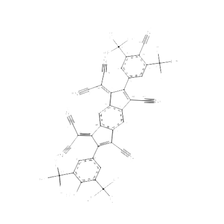 Cc1c(C(F)(F)F)cc(C2=C(C#N)c3cc4c(cc3C2=C(C#N)C#N)C(=C(C#N)C#N)C(c2cc(C(F)(F)F)c(C#N)c(C(F)(F)F)c2)=C4C#N)cc1C(F)(F)F